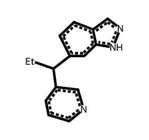 CCC(c1cccnc1)c1ccc2cn[nH]c2c1